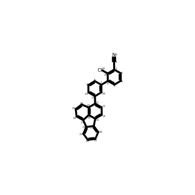 N#Cc1cccc(-c2cccc(-c3ccc4c5c(cccc35)-c3ccccc3-4)c2)c1Cl